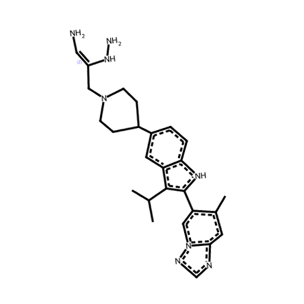 Cc1cc2ncnn2cc1-c1[nH]c2ccc(C3CCN(C/C(=C/N)NN)CC3)cc2c1C(C)C